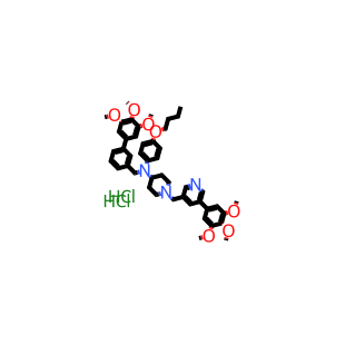 CCCCOc1ccc(N(Cc2cccc(-c3cc(OC)c(OC)c(OC)c3)c2)C2CCN(Cc3cncc(-c4cc(OC)c(OC)c(OC)c4)c3)CC2)cc1.Cl.Cl